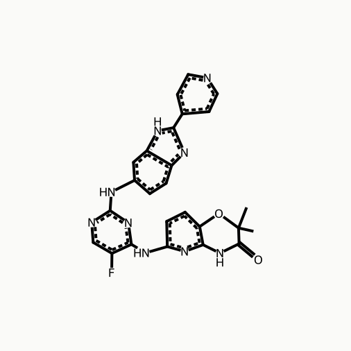 CC1(C)Oc2ccc(Nc3nc(Nc4ccc5nc(-c6ccncc6)[nH]c5c4)ncc3F)nc2NC1=O